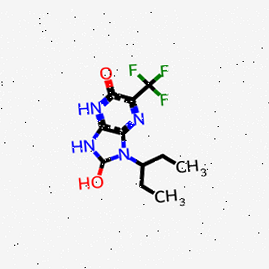 CCC(CC)N1c2nc(C(F)(F)F)c(=O)[nH]c2NC1O